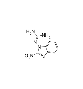 NC(N)=Nn1c([N+](=O)[O-])nc2ccccc21